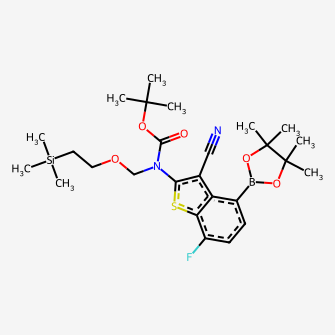 CC(C)(C)OC(=O)N(COCC[Si](C)(C)C)c1sc2c(F)ccc(B3OC(C)(C)C(C)(C)O3)c2c1C#N